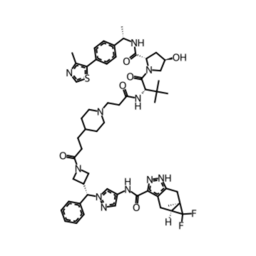 Cc1ncsc1-c1ccc([C@H](C)NC(=O)[C@@H]2C[C@@H](O)CN2C(=O)[C@@H](NC(=O)CCN2CCC(CCC(=O)N3CC([C@@H](c4ccccc4)n4cc(NC(=O)c5n[nH]c6c5C[C@@H]5C(F)(F)[C@]5(C)C6)cn4)C3)CC2)C(C)(C)C)cc1